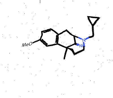 COc1ccc2c(c1)C1(C)CCN(CC3CC3)C(C2)C1=N